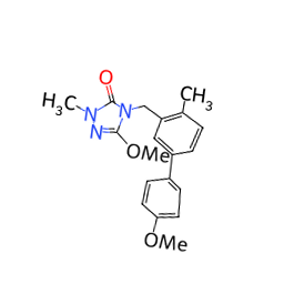 COc1ccc(-c2ccc(C)c(Cn3c(OC)nn(C)c3=O)c2)cc1